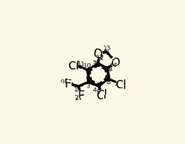 FC(F)c1c(Cl)c(Cl)c2c(c1Cl)OCO2